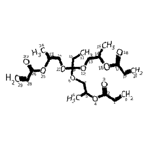 C=CC(=O)OC(C)COC(CC)(OCC(C)OC(=O)C=C)OCC(C)OC(=O)C=C